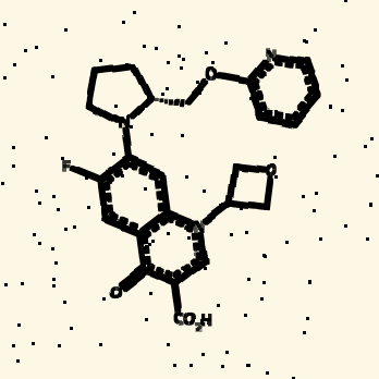 O=C(O)c1cn(C2COC2)c2cc(N3CCC[C@@H]3COc3ccccn3)c(F)cc2c1=O